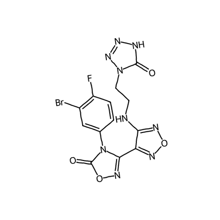 O=c1[nH]nnn1CCNc1nonc1-c1noc(=O)n1-c1ccc(F)c(Br)c1